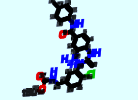 C=C(Nc1ccc(C(=O)Nc2ccc(C)cc2)cc1N)Nc1cc(CNC(=O)OC(C)(C)C)ccc1Cl